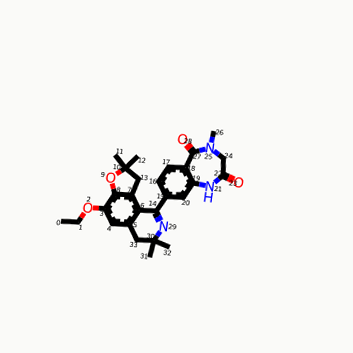 CCOc1cc2c(c3c1OC(C)(C)C3)C(c1ccc3c(c1)NC(=O)CN(C)C3=O)=NC(C)(C)C2